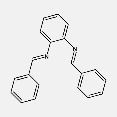 C(=Nc1ccccc1N=Cc1ccccc1)c1ccccc1